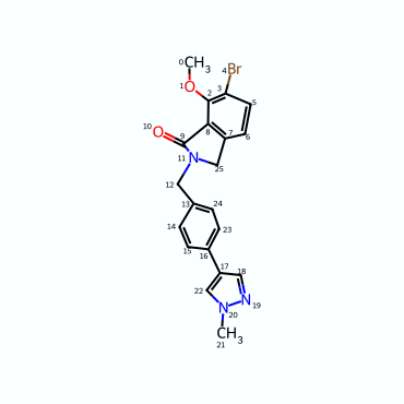 COc1c(Br)ccc2c1C(=O)N(Cc1ccc(-c3cnn(C)c3)cc1)C2